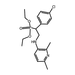 CCOP(=O)(OCC)C(CNc1ccc(C)nc1C)c1ccc(Cl)cc1